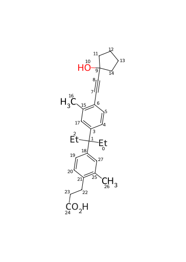 CCC(CC)(c1ccc(C#CC2(O)CCCC2)c(C)c1)c1ccc(CCC(=O)O)c(C)c1